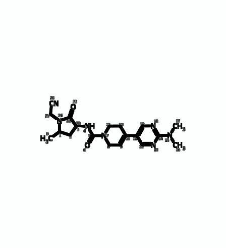 CC1C[C@H](NC(=O)N2CC=C(c3cnc(N(C)C)nc3)CC2)C(=O)N1CC#N